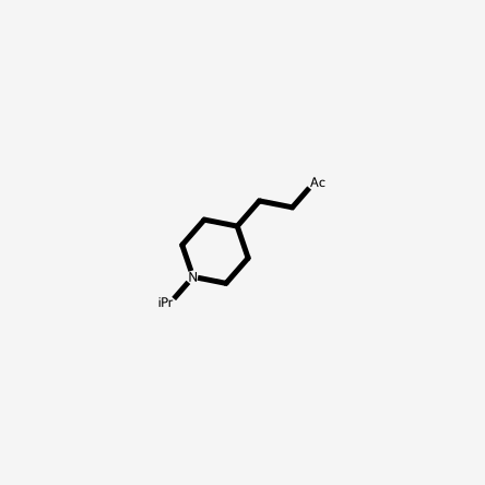 CC(=O)CCC1CCN(C(C)C)CC1